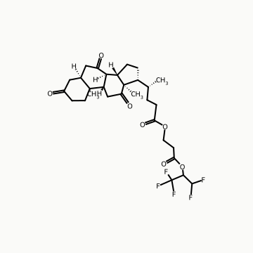 C[C@H](CCC(=O)OCCC(=O)OC(C(F)F)C(F)(F)F)[C@H]1CC[C@H]2[C@@H]3C(=O)C[C@@H]4CC(=O)CC[C@]4(C)[C@H]3CC(=O)[C@]12C